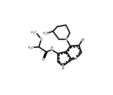 COC(C)C(=O)Nc1c[nH]c2ncc(Br)c(N3CCCC(N)C3)c12